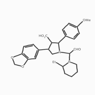 CCC1CCCCN1C(C=O)N1CC(c2ccc3c(c2)OCO3)C(C(=O)O)C1c1ccc(OC)cc1